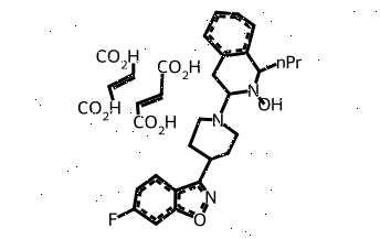 CCCC1c2ccccc2CC(N2CCC(c3noc4cc(F)ccc34)CC2)N1O.O=C(O)/C=C/C(=O)O.O=C(O)/C=C/C(=O)O